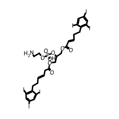 NCCOP(=O)(O)OC(COC(=O)C=CCCc1c(I)cc(I)cc1I)COC(=O)CC=CCCc1c(I)cc(I)cc1I